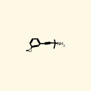 COc1[c]ccc(C#CC(C)(C)N)c1